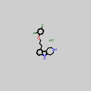 Cl.Fc1ccc(OCCCc2cccc3[nH]c4c(c23)CCNCC4)c(F)c1